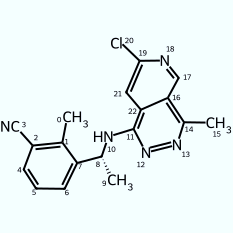 Cc1c(C#N)cccc1[C@@H](C)Nc1nnc(C)c2cnc(Cl)cc12